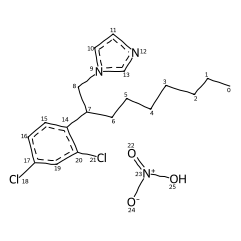 CCCCCCCC(Cn1ccnc1)c1ccc(Cl)cc1Cl.O=[N+]([O-])O